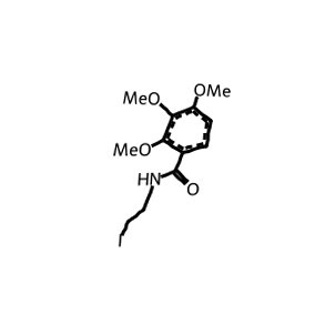 COc1ccc(C(=O)NCCI)c(OC)c1OC